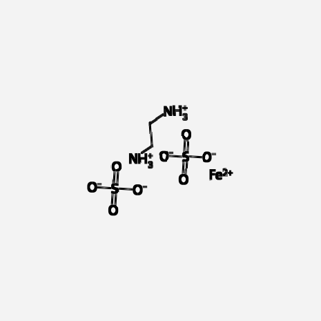 O=S(=O)([O-])[O-].O=S(=O)([O-])[O-].[Fe+2].[NH3+]CC[NH3+]